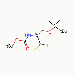 CC(C)(C)OC(=O)N[C@H](CO[Si](C)(C)C(C)(C)C)C(F)F